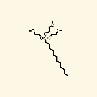 CCCCCCCCCCCC[Si](OCCOC)(OCCOC)OCCOC